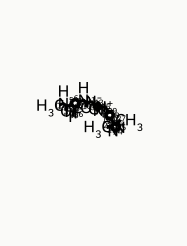 CNC(=O)c1ccc(NC(=O)[N-]c2c[n+](Cc3ccc(-c4c(C)ncnc4C)cc3)no2)cc1C(F)(F)F